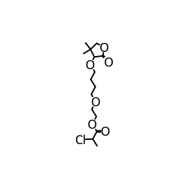 CC(Cl)C(=O)OCCOCCCCOC1C(=O)OCC1(C)C